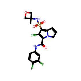 CC1(NS(=O)(=O)c2c(Cl)c(C(=O)Nc3ccc(F)c(F)c3)n3c2C=CC3)COC1